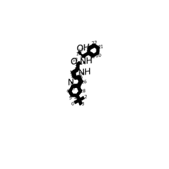 CC(C)(C)C1CCc2nc3cc(C(=O)N[C@@H](CO)C4=CCCC=C4)[nH]c3cc2C1